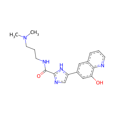 CN(C)CCCNC(=O)c1ncc(-c2cc(O)c3ncccc3c2)[nH]1